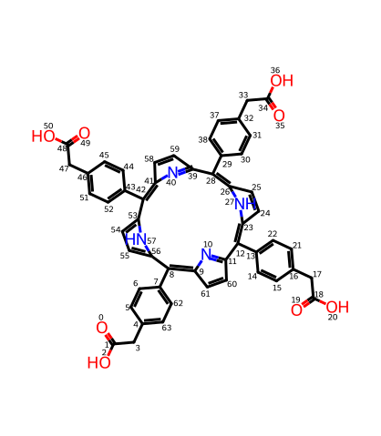 O=C(O)Cc1ccc(-c2c3nc(c(-c4ccc(CC(=O)O)cc4)c4ccc([nH]4)c(-c4ccc(CC(=O)O)cc4)c4nc(c(-c5ccc(CC(=O)O)cc5)c5ccc2[nH]5)C=C4)C=C3)cc1